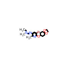 CCN(C)/C=N/c1cc(Br)c(OC2CCC3(CC2)OCCO3)nc1C